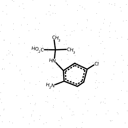 CC(C)(Nc1cc(Cl)ccc1N)C(=O)O